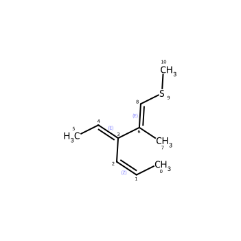 C\C=C/C(=C\C)C(/C)=C/SC